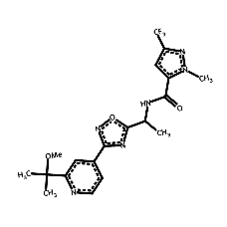 COC(C)(C)c1cc(-c2noc(C(C)NC(=O)c3cc(C(F)(F)F)nn3C)n2)ccn1